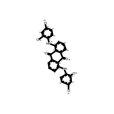 O=C1c2cccc(Nc3ccc(Cl)cc3Cl)c2C(=O)c2cccc(Nc3ccc(Cl)cc3Cl)c21